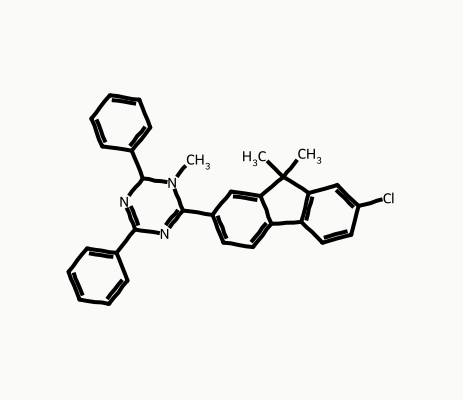 CN1C(c2ccc3c(c2)C(C)(C)c2cc(Cl)ccc2-3)=NC(c2ccccc2)=NC1c1ccccc1